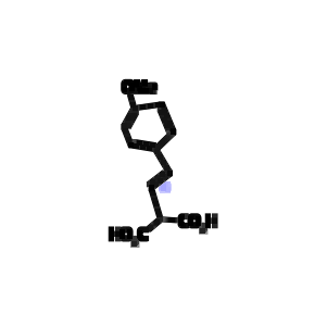 COc1ccc(/C=C/C(C(=O)O)C(=O)O)cc1